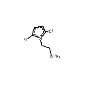 CCCCCCCCn1cccc1CC.Cl